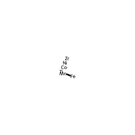 [Co].[Mn][Fe].[Ni].[Ti].[Zr]